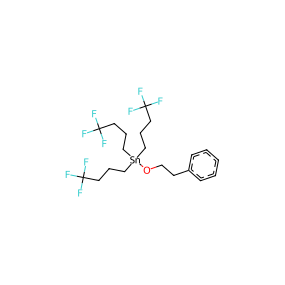 FC(F)(F)CC[CH2][Sn]([CH2]CCC(F)(F)F)([CH2]CCC(F)(F)F)[O]CCc1ccccc1